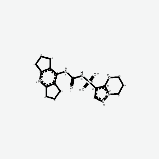 O=C(Nc1c2c(nc3c1CCC3)CCC2)NS(=O)(=O)c1cnn2c1OCCC2